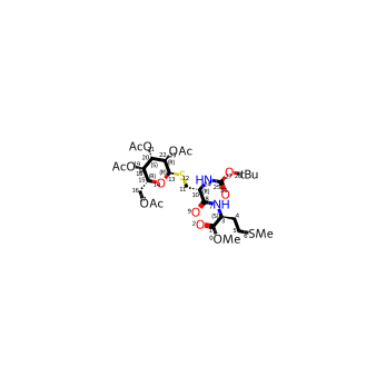 COC(=O)[C@H](CCSC)NC(=O)[C@H](CS[C@H]1O[C@H](COC(C)=O)[C@@H](OC(C)=O)[C@H](OC(C)=O)[C@H]1OC(C)=O)NC(=O)OC(C)(C)C